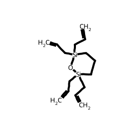 C=CC[Si]1(CC=C)CCC[Si](CC=C)(CC=C)O1